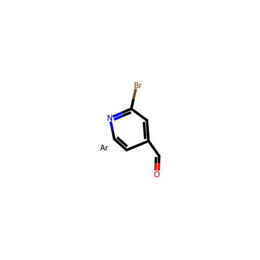 O=Cc1ccnc(Br)c1.[Ar]